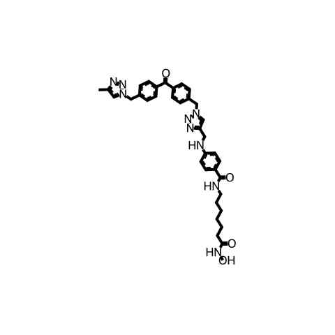 Cc1cn(Cc2ccc(C(=O)c3ccc(Cn4cc(CNc5ccc(C(=O)NCCCCCCC(=O)NO)cc5)nn4)cc3)cc2)nn1